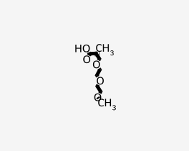 COCCOCCOC[C@H](C)C(=O)O